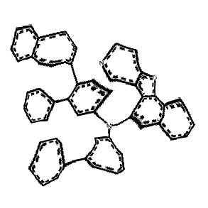 c1ccc(-c2cccc(N(c3ccc(-c4ccc5ccccc5c4)c(-c4ccccc4)c3)c3cc4ccccc4c4oc5ccncc5c34)c2)cc1